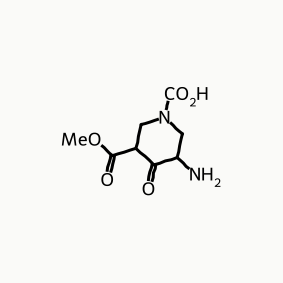 COC(=O)C1CN(C(=O)O)CC(N)C1=O